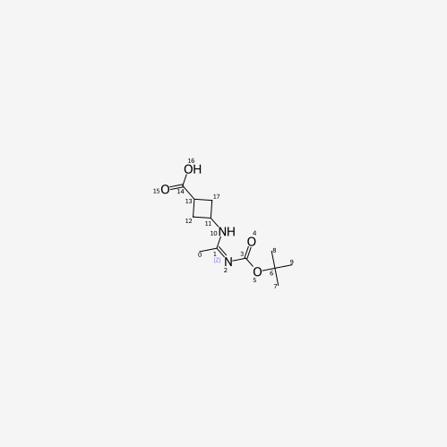 C/C(=N/C(=O)OC(C)(C)C)NC1CC(C(=O)O)C1